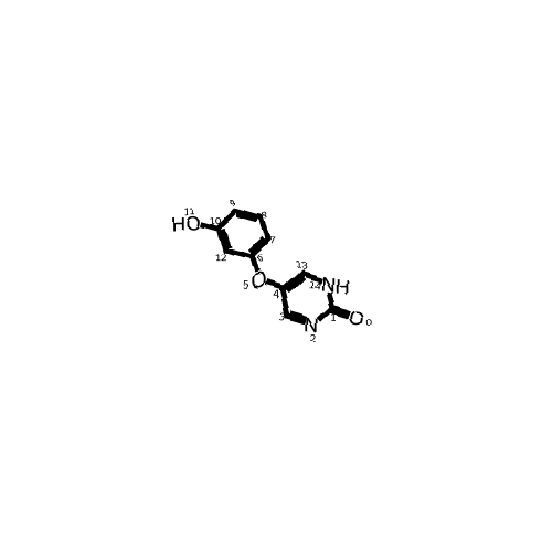 O=c1ncc(Oc2cccc(O)c2)c[nH]1